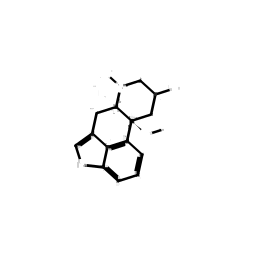 CO[C@]12CC(O)CN(C)[C@@H]1Cc1c[nH]c3cccc2c13